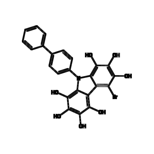 Oc1c(O)c(O)c2c(c1O)c1c(Br)c(O)c(O)c(O)c1n2-c1ccc(-c2ccccc2)cc1